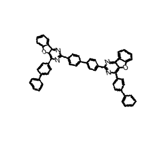 c1ccc(-c2ccc(-c3nc(-c4ccc(-c5ccc(-c6nc(-c7ccc(-c8ccccc8)cc7)c7oc8ccccc8c7n6)cc5)cc4)nc4c3oc3ccccc34)cc2)cc1